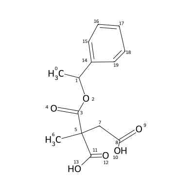 CC(OC(=O)C(C)(CC(=O)O)C(=O)O)c1ccccc1